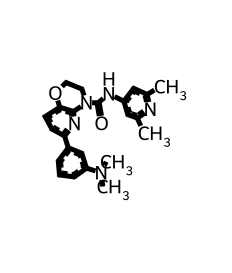 Cc1cc(NC(=O)N2CCOc3ccc(-c4cccc(N(C)C)c4)nc32)cc(C)n1